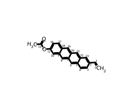 C=Cc1ccc2cc3cc4cc(OC(C)=O)ccc4cc3cc2c1